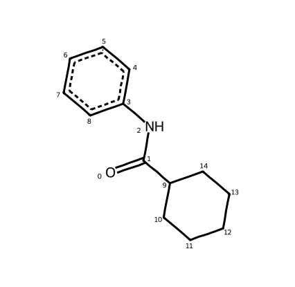 O=C(Nc1c[c]ccc1)C1CCCCC1